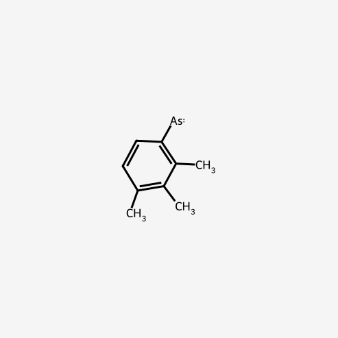 Cc1ccc([As])c(C)c1C